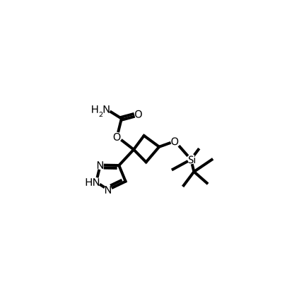 CC(C)(C)[Si](C)(C)OC1CC(OC(N)=O)(c2cn[nH]n2)C1